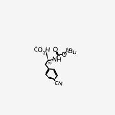 CC(C)(C)OC(=O)N[C@H](CC(=O)O)Cc1ccc(C#N)cc1